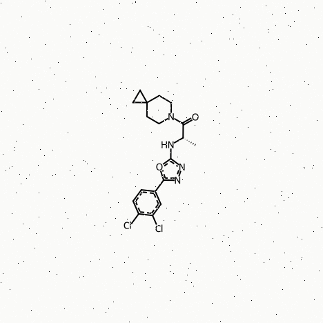 C[C@H](Nc1nnc(-c2ccc(Cl)c(Cl)c2)o1)C(=O)N1CCC2(CC1)CC2